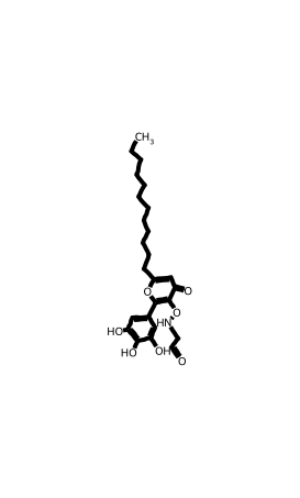 CCCCCCCCCCCCc1cc(=O)c(ONCC=O)c(-c2cc(O)c(O)c(O)c2)o1